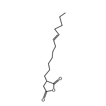 CCCCC=CCCCCCCC1CC(=O)OC1=O